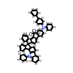 CC1(C)c2cc(N(c3ccccc3)c3ccc(-c4ccccc4)cc3)ccc2-c2ccc(C3(c4ccccc4)c4ccccc4-c4c3ccc3c5ccccc5n(-c5ccccc5)c43)cc21